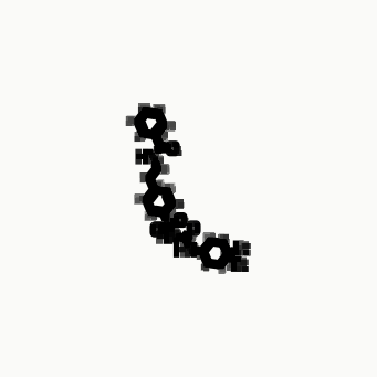 CCC1(CC)CCC(NC(=O)NS(=O)(=O)c2ccc(CCNC(=O)c3ccccc3)cc2)CC1